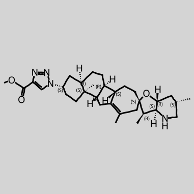 COC(=O)c1cn([C@H]2CC[C@@]3(C)[C@H](CC[C@H]4[C@@H]5CC[C@@]6(CC(C)=C5C[C@@H]43)O[C@@H]3C[C@H](C)CN[C@H]3[C@H]6C)C2)nn1